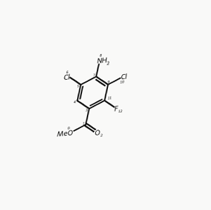 COC(=O)c1cc(Cl)c(N)c(Cl)c1F